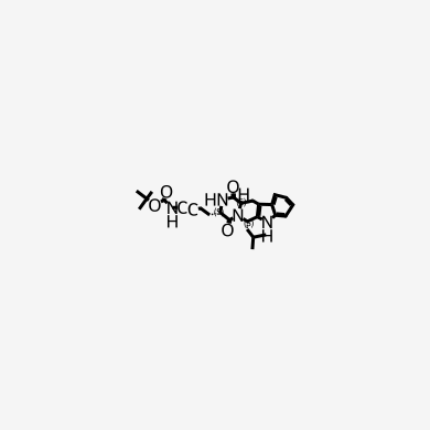 CC(C)C[C@H]1c2[nH]c3ccccc3c2C[C@H]2C(=O)N[C@@H](CCCCNC(=O)OC(C)(C)C)C(=O)N21